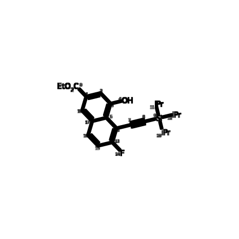 CCOC(=O)c1cc(O)c2c(C#C[Si](C(C)C)(C(C)C)C(C)C)c(F)ccc2c1